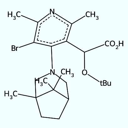 Cc1nc(C)c(C(OC(C)(C)C)C(=O)O)c(N2CC3CCC(C)(C2)C3(C)C)c1Br